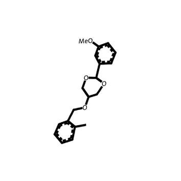 COc1cccc(C2OCC(OCc3ccccc3C)CO2)c1